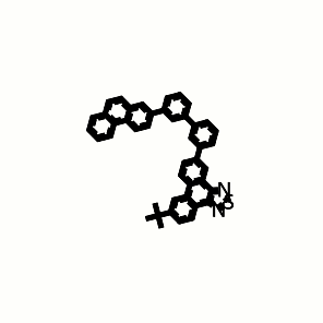 CC(C)(C)c1ccc2c(c1)c1ccc(-c3cccc(-c4cccc(-c5ccc6c(ccc7ccccc76)c5)c4)c3)cc1c1nsnc21